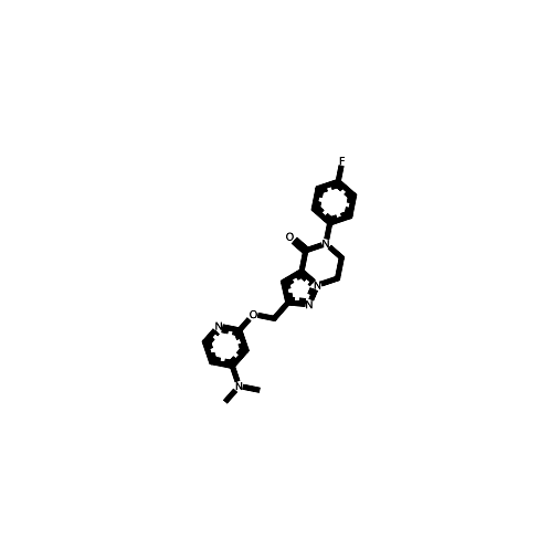 CN(C)c1ccnc(OCc2cc3n(n2)CCN(c2ccc(F)cc2)C3=O)c1